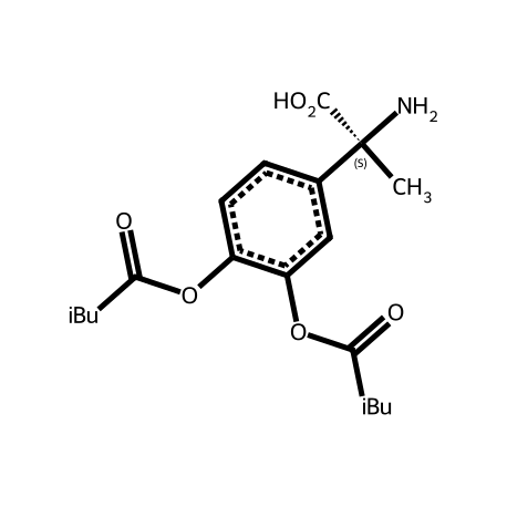 CCC(C)C(=O)Oc1ccc([C@](C)(N)C(=O)O)cc1OC(=O)C(C)CC